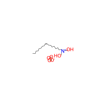 CCCCCCCC/C=C\CCCCCCCC[N+](C)(CCO)CCO.COS(=O)(=O)[O-]